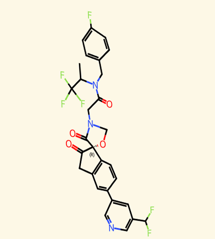 CC(N(Cc1ccc(F)cc1)C(=O)CN1CO[C@]2(C(=O)Cc3cc(-c4cncc(C(F)F)c4)ccc32)C1=O)C(F)(F)F